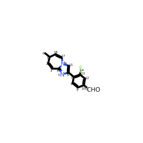 CC1C=Cc2nc(-c3ccc(C=O)cc3F)cn2C=C1